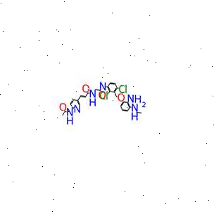 CCNc1cccc(OCc2c(Cl)ccc(N(C)C(=O)CNC(=O)/C=C/c3ccc(NC(C)=O)nc3)c2Cl)c1N